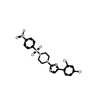 O=[N+]([O-])c1ccc(S(=O)(=O)N2CCN(c3nc(-c4ccc(Cl)cc4Cl)cs3)CC2)cc1